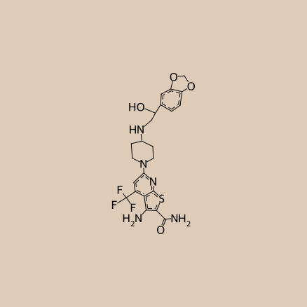 NC(=O)c1sc2nc(N3CCC(NCC(O)c4ccc5c(c4)OCO5)CC3)cc(C(F)(F)F)c2c1N